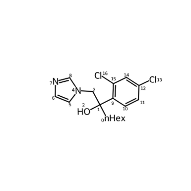 CCCCCCC(O)(Cn1ccnc1)c1ccc(Cl)cc1Cl